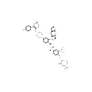 CC1(C)CCC(CN2CCN(c3ccc(C(=O)NS(=O)(=O)c4ccc(NC[C@@H]5OCCN(S(C)(=O)=O)CC5[SiH3])c([N+](=O)[O-])c4)c(-n4ncc5nc6[nH]ccc6cc54)c3)CC2)=C(c2ccc(Cl)cc2)C1